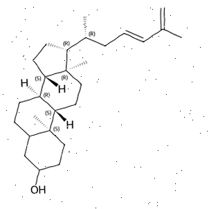 C=C(C)C=CC[C@@H](C)[C@H]1CC[C@H]2[C@@H]3CCC4CC(O)CC[C@]4(C)[C@H]3CC[C@]12C